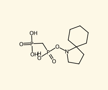 O=P(O)(O)CP(=O)(O)ON1CCCC12CCCCC2